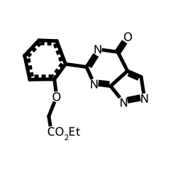 CCOC(=O)COc1ccccc1C1=NC(=O)C2=CN=NC2=N1